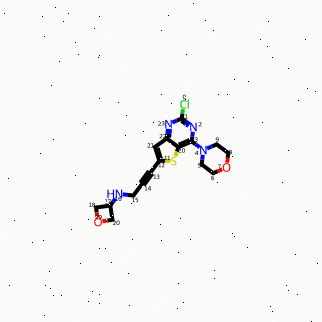 Clc1nc(N2CCOCC2)c2sc(C#CCNC3COC3)cc2n1